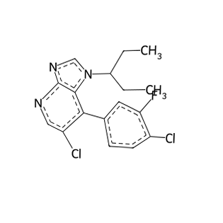 CCC(CC)n1cnc2ncc(Cl)c(-c3ccc(Cl)c(F)c3)c21